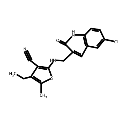 CCc1c(C)sc(NCc2cc3cc(Cl)ccc3[nH]c2=O)c1C#N